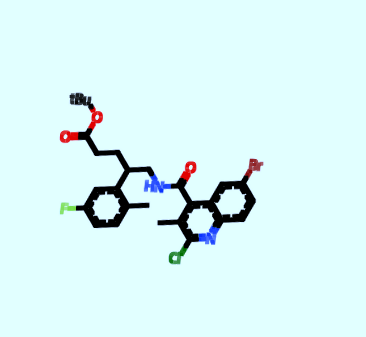 Cc1ccc(F)cc1C(CCC(=O)OC(C)(C)C)CNC(=O)c1c(C)c(Cl)nc2ccc(Br)cc12